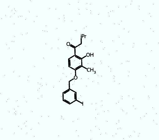 Cc1c(OCc2cccc(I)c2)ccc(C(=O)CC(C)C)c1O